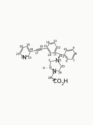 C[C@@H]1CN([C@H](c2ccccc2)c2cccc(C#Cc3cccnc3)c2)CCN1CC(=O)O